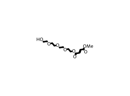 COC(=O)C=CC(=O)OCCOCCOCCOCCO